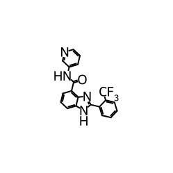 O=C(Nc1cccnc1)c1cccc2[nH]c(-c3ccccc3C(F)(F)F)nc12